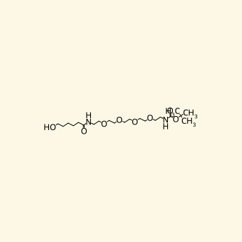 CC(C)(C)OC(=O)NCCOCCOCCOCCOCCNC(=O)CCCCCO